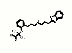 CC(C)(Oc1ccccc1CCCNCCCc1nc2ccccc2o1)C(=O)O